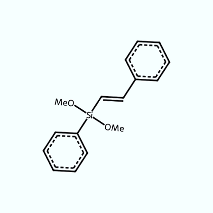 CO[Si](C=Cc1ccccc1)(OC)c1ccccc1